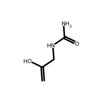 C=C(O)CNC(N)=O